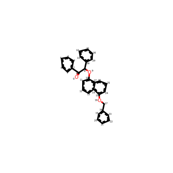 O=C(c1ccccc1)C(Oc1cccc2c(OCc3ccccc3)cccc12)c1ccccc1